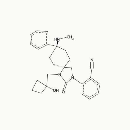 CN[C@]1(c2ccccc2)CC[C@]2(CC1)CN(c1ccccc1C#N)C(=O)N2CC1(O)CCC1